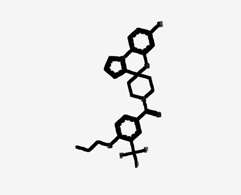 CCCOc1ccc(C(=O)N2CCC3(CC2)Oc2cc(Cl)ccc2-n2cccc23)cc1C(F)(F)F